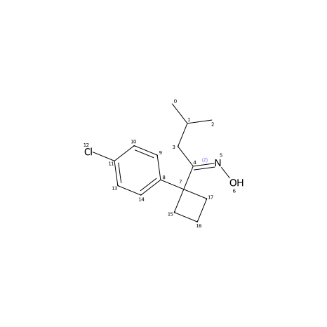 CC(C)C/C(=N/O)C1(c2ccc(Cl)cc2)CCC1